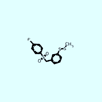 CSSc1cccc(CS(=O)(=O)c2ccc(F)cc2)c1